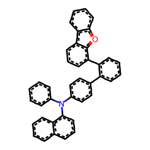 c1ccc(N(c2ccc(-c3ccccc3-c3cccc4c3oc3ccccc34)cc2)c2cccc3ccccc23)cc1